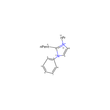 CCCCCc1n(-c2ccccc2)cc[n+]1CCC